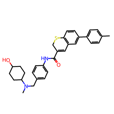 Cc1ccc(-c2ccc3c(c2)C=C(C(=O)Nc2ccc(CN(C)C4CCC(O)CC4)cc2)CS3)cc1